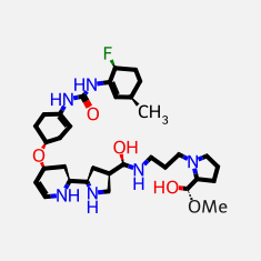 CO[C@H](O)C1CCCN1CCCN[C@H](O)[C@H]1CN[C@@H]([C@@H]2C[C@H](O[C@@H]3CC=C(NC(=O)NC4=C[C@H](C)CC[C@@H]4F)CC3)C=CN2)C1